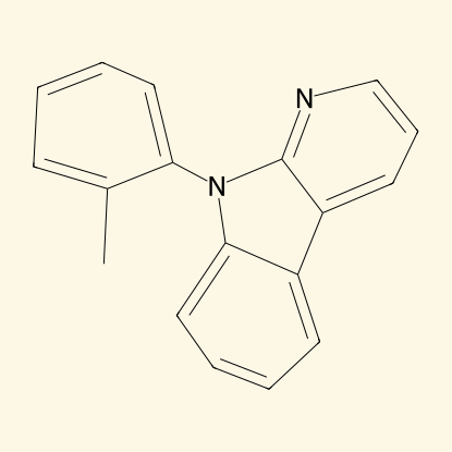 Cc1ccccc1-n1c2ccccc2c2cccnc21